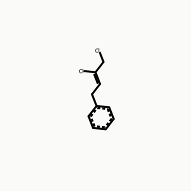 ClCC(Cl)=CCc1ccccc1